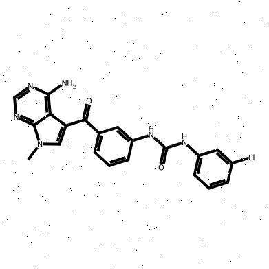 Cn1cc(C(=O)c2cccc(NC(=O)Nc3cccc(Cl)c3)c2)c2c(N)ncnc21